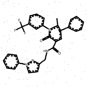 Cc1c(-c2ccccc2)cc(C(=O)NCc2ccn(-c3ccccc3)n2)c(=O)n1-c1cccc(C(F)(F)F)c1